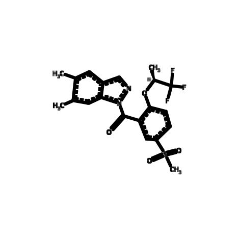 Cc1cc2cnn(C(=O)c3cc(S(C)(=O)=O)ccc3O[C@@H](C)C(F)(F)F)c2cc1C